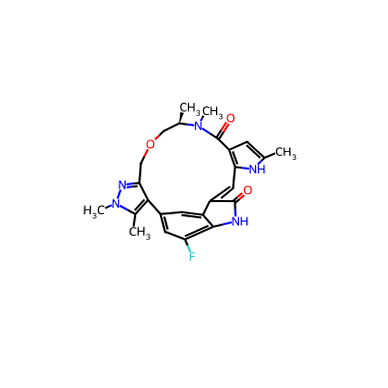 Cc1cc2c([nH]1)/C=C1\C(=O)Nc3c(F)cc(cc31)-c1c(nn(C)c1C)COC[C@@H](C)N(C)C2=O